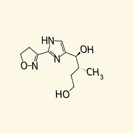 C[C@H](CCO)[C@H](O)c1c[nH]c(C2=NOCC2)n1